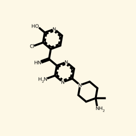 CC1(N)CCN(c2cnc(C(=N)c3ccnc(O)c3Cl)c(N)n2)CC1